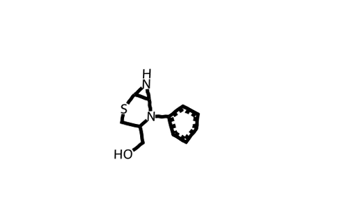 OCC1CSC2NC2N1c1ccccc1